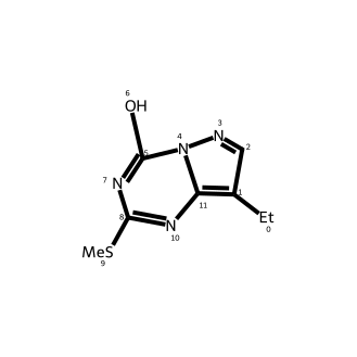 CCc1cnn2c(O)nc(SC)nc12